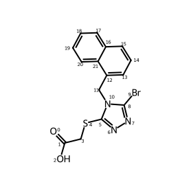 O=C(O)CSc1nnc(Br)n1Cc1cccc2ccccc12